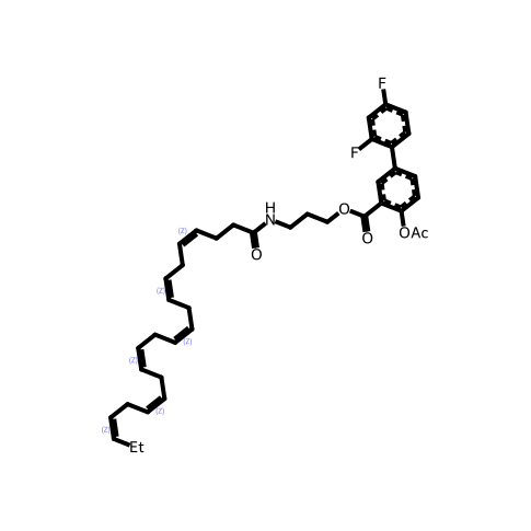 CC/C=C\C/C=C\C/C=C\C/C=C\C/C=C\C/C=C\CCC(=O)NCCCOC(=O)c1cc(-c2ccc(F)cc2F)ccc1OC(C)=O